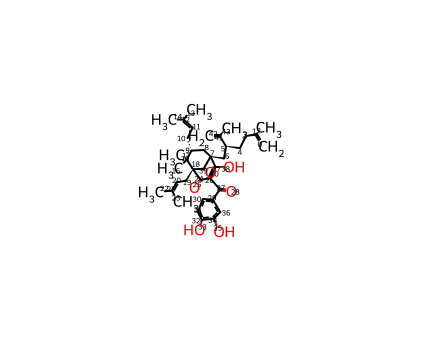 C=C(C)CC[C@@H](C[C@@]12C[C@@H](CC=C(C)C)C(C)(C)[C@@](CC=C(C)C)(C(=O)C(C(=O)c3ccc(O)c(O)c3)=C1O)C2=O)C(=C)C